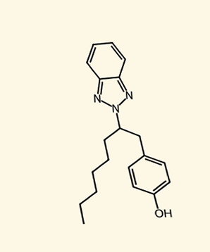 CCCCCCC(Cc1ccc(O)cc1)n1nc2ccccc2n1